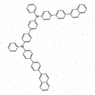 c1ccc(N(c2ccc(-c3ccc(-c4ccc5ccccc5c4)cc3)cc2)c2ccc(-c3ccc(N(c4ccccc4)c4ccc(-c5ccc(-c6ccc7ccccc7c6)cc5)cc4)cc3)cc2)cc1